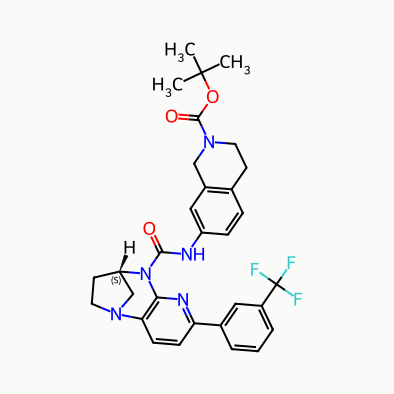 CC(C)(C)OC(=O)N1CCc2ccc(NC(=O)N3c4nc(-c5cccc(C(F)(F)F)c5)ccc4N4CC[C@H]3C4)cc2C1